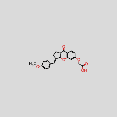 COc1ccc(/C=C2\CCc3c2oc2cc(OCC(=O)O)ccc2c3=O)cc1